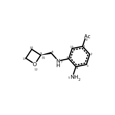 CC(=O)c1ccc(N)c(NC[C@@H]2CCO2)c1